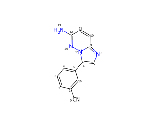 N#Cc1cccc(-c2cnc3ccc(N)nn23)c1